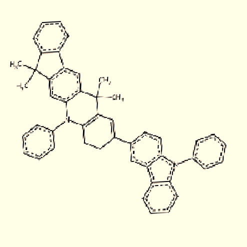 CC1(C)C2=C(CCC(c3ccc4c(c3)c3ccccc3n4-c3ccccc3)=C2)N(c2ccccc2)c2cc3c(cc21)-c1ccccc1C3(C)C